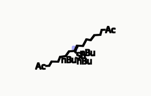 CCC[CH2][Sn]([CH2]CCC)([CH2]CCC)/[C](=C\CCCCCCC(C)=O)CCCCCCC(C)=O